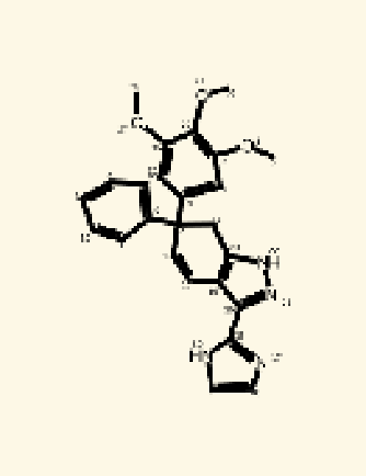 COc1cc(C2(c3ccccc3)C=Cc3c(-c4ncc[nH]4)n[nH]c3C2)cc(OC)c1OC